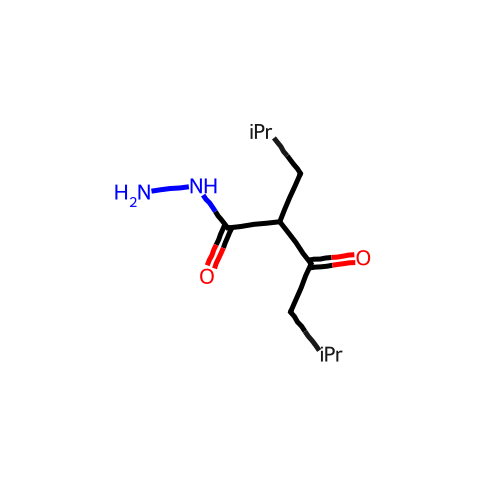 CC(C)CC(=O)C(CC(C)C)C(=O)NN